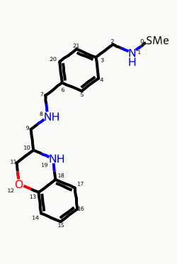 CSNCc1ccc(CNCC2COc3ccccc3N2)cc1